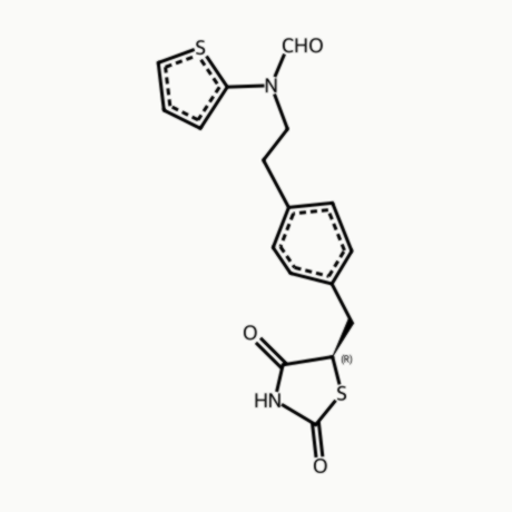 O=CN(CCc1ccc(C[C@H]2SC(=O)NC2=O)cc1)c1cccs1